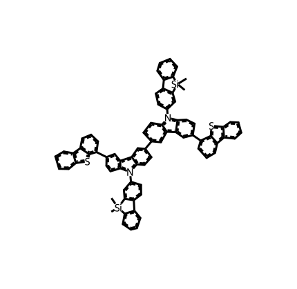 C[Si]1(C)c2ccccc2-c2ccc(-n3c4ccc(-c5ccc6c(c5)c5cc(-c7cccc8c7sc7ccccc78)ccc5n6-c5ccc6c(c5)[Si](C)(C)c5ccccc5-6)cc4c4cc(-c5cccc6c5sc5ccccc56)ccc43)cc21